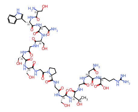 C[C@@H](O)[C@H](NC(=O)[C@H](CO)NC(=O)CNC(=O)[C@@H]1CCCN1C(=O)CNC(=O)[C@H](CO)NC(=O)[C@H](CO)NC(=O)CNC(=O)[C@H](CO)NC(=O)[C@H](CC(N)=O)NC(=O)[C@H](Cc1c[nH]c2ccccc12)NC(=O)[C@@H](N)CO)C(=O)NCC(=O)N[C@@H](CC(N)=O)C(=O)N[C@@H](CCCNC(=N)N)C(=O)O